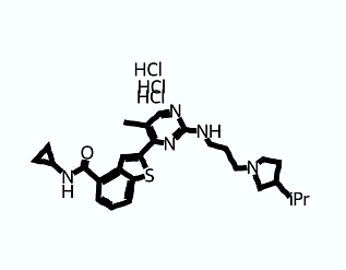 Cc1cnc(NCCCN2CCC(C(C)C)C2)nc1-c1cc2c(C(=O)NC3CC3)cccc2s1.Cl.Cl.Cl